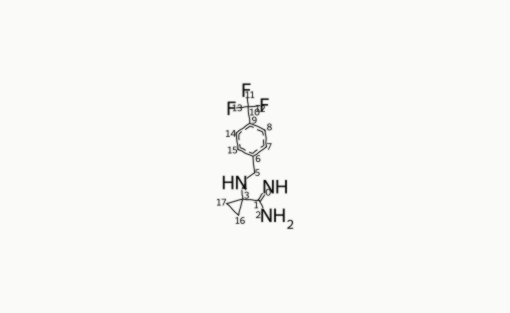 N=C(N)C1(NCc2ccc(C(F)(F)F)cc2)CC1